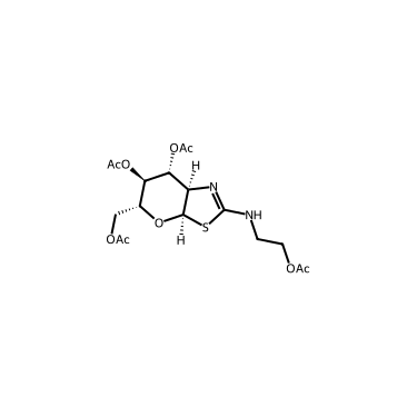 CC(=O)OCCNC1=N[C@@H]2[C@@H](OC(C)=O)[C@H](OC(C)=O)[C@@H](COC(C)=O)O[C@@H]2S1